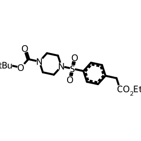 CCOC(=O)Cc1ccc(S(=O)(=O)N2CCN(C(=O)OC(C)(C)C)CC2)cc1